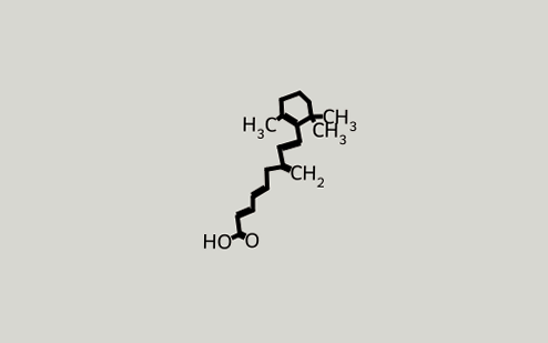 C=C(C=CC1=C(C)CCCC1(C)C)CC=CC=CC(=O)O